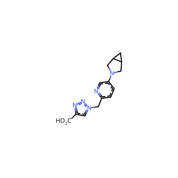 O=C(O)c1cn(Cc2ccc(N3CC4CC4C3)cn2)nn1